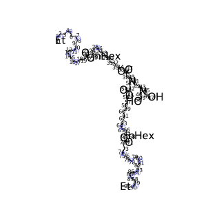 CC/C=C\C/C=C\C/C=C\C/C=C\C/C=C\C/C=C\CCC(=O)OC(C/C=C\CCCCCCCCOC(=O)CCN(CCCN(CCO)CCO)CCC(=O)OCCCCCCCC/C=C\CC(CCCCCC)OC(=O)CC/C=C\C/C=C\C/C=C\C/C=C\C/C=C\C/C=C\CC)CCCCCC